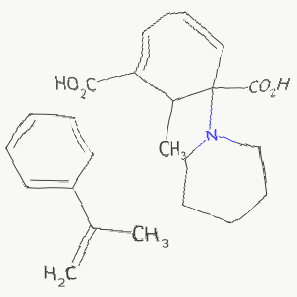 C=C(C)c1ccccc1.CC1C(C(=O)O)=CC=CC1(C(=O)O)N1CCCCC1